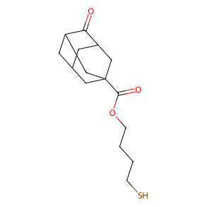 O=C1C2CC3CC1CC(C(=O)OCCCCS)(C3)C2